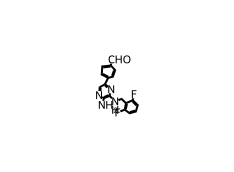 Nc1ncc(-c2ccc(C=O)cc2)nc1NCc1c(F)cccc1F